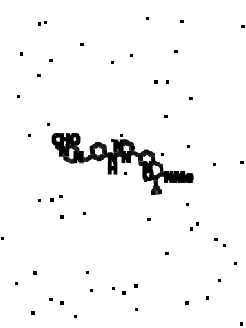 CNC(Cc1ccc(-c2ccnc(Nc3cccc(CN4CCN(CC=O)CC4)c3)n2)cn1)C(=O)C1CC1